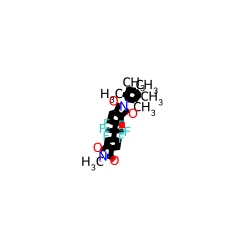 Cc1c(C)c(C)c(N2C(=O)c3ccc(C(c4ccc5c(c4)C(=O)N(C)C5=O)(C(F)(F)F)C(F)(F)F)cc3C2=O)c(C)c1C